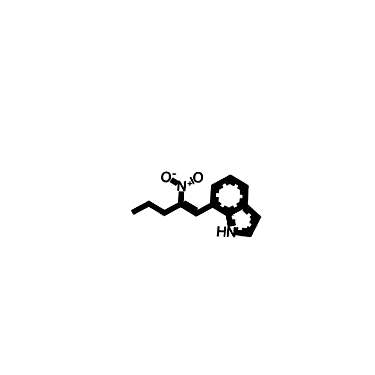 CCC/C(=C/c1cccc2cc[nH]c12)[N+](=O)[O-]